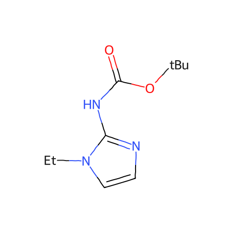 CCn1ccnc1NC(=O)OC(C)(C)C